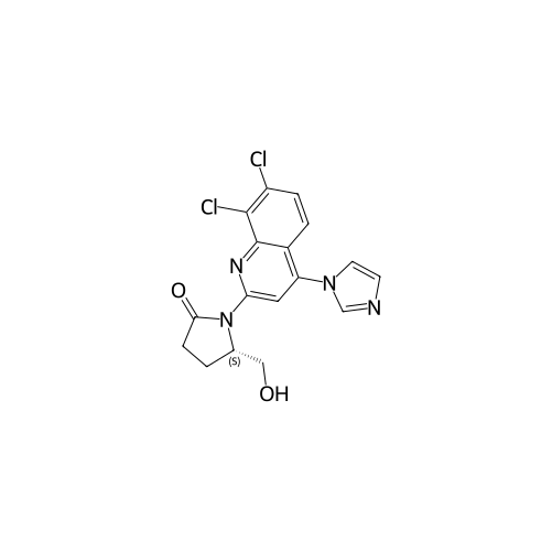 O=C1CC[C@@H](CO)N1c1cc(-n2ccnc2)c2ccc(Cl)c(Cl)c2n1